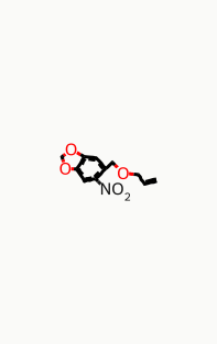 C=CCOCc1cc2c(cc1[N+](=O)[O-])OCO2